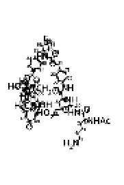 CC(=O)N[C@@H](CCCCN)C(=O)NCC(=O)N[C@@H](CCC(=O)O)C(=O)Nc1ccc(COC(=O)NC2(Cc3ccc(C4O[C@@H]5C[C@H]6[C@@H]7CCC8=CC(=O)C=C[C@]8(C)[C@H]7[C@@H](O)C[C@]6(C)[C@]5(C(=O)CO)O4)cc3)CC(F)(F)C2)cc1